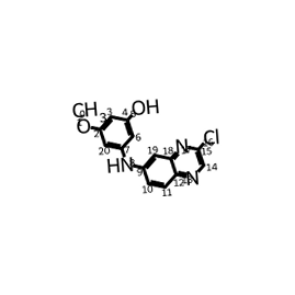 COc1cc(O)cc(Nc2ccc3ncc(Cl)nc3c2)c1